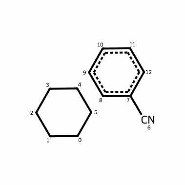 C1CCCCC1.N#Cc1ccccc1